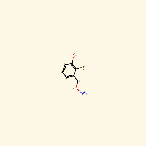 NOCc1cccc(O)c1Br